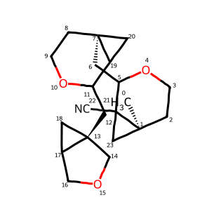 C[C@@]12CCOC(C[C@@]34CCOC(C[C@@]56COCC5C6)C3C4)C1(C#N)C2